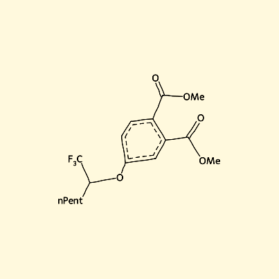 CCCCCC(Oc1ccc(C(=O)OC)c(C(=O)OC)c1)C(F)(F)F